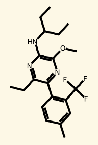 CCc1nc(NC(CC)CC)c(OC)nc1-c1ccc(C)cc1C(F)(F)F